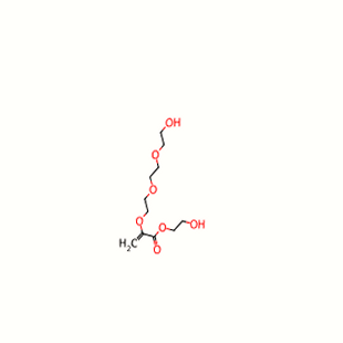 C=C(OCCOCCOCCO)C(=O)OCCO